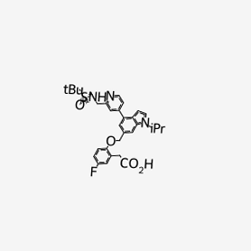 CC(C)n1ccc2c(-c3ccnc(CN[S@@+]([O-])C(C)(C)C)c3)cc(COc3ccc(F)cc3CC(=O)O)cc21